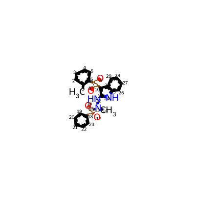 Cc1ccccc1S(=O)(=O)c1c(NN(C)S(=O)(=O)c2ccccc2)[nH]c2ccccc12